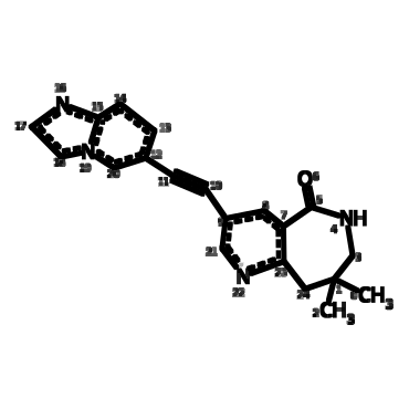 CC1(C)CNC(=O)c2cc(C#Cc3ccc4nccn4c3)cnc2C1